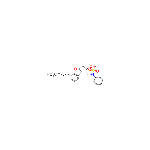 CS(=O)(=O)N(CC1C(O)CC2Oc3c(CCCC(=O)O)cccc3C21)c1ccccc1